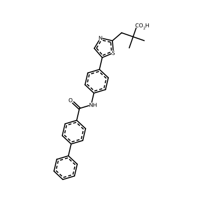 CC(C)(Cc1ncc(-c2ccc(NC(=O)c3ccc(-c4ccccc4)cc3)cc2)s1)C(=O)O